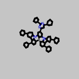 c1ccc(-c2ccc3c(c2)c2c(-c4ccccc4)ccc4c2n3-c2cc(-c3cc(-c5ccccc5)nc(-c5ccccc5)n3)cc3c2B4c2ccc(-c4ccccc4)c4c5cc(-c6ccccc6)ccc5n-3c24)cc1